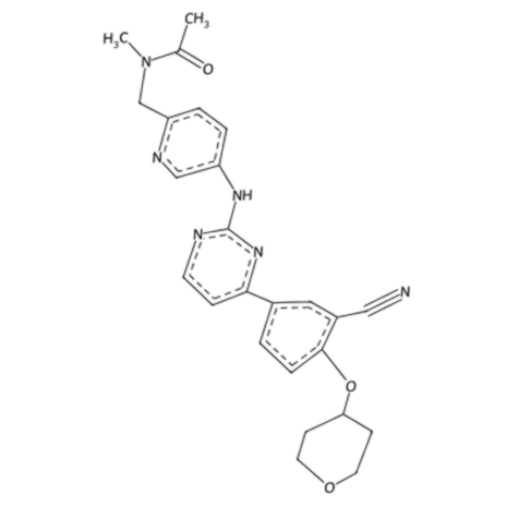 CC(=O)N(C)Cc1ccc(Nc2nccc(-c3ccc(OC4CCOCC4)c(C#N)c3)n2)cn1